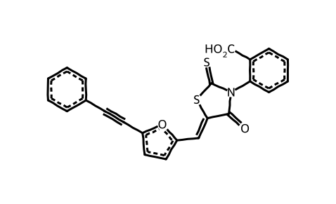 O=C(O)c1ccccc1N1C(=O)C(=Cc2ccc(C#Cc3ccccc3)o2)SC1=S